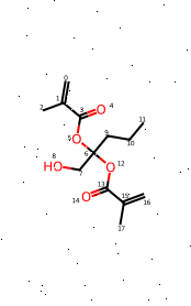 C=C(C)C(=O)OC(CO)(CCC)OC(=O)C(=C)C